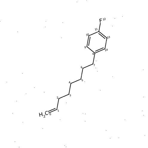 C=CCCCCCCc1ccc(F)cc1